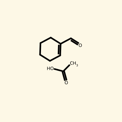 CC(=O)O.O=CC1=CCCCC1